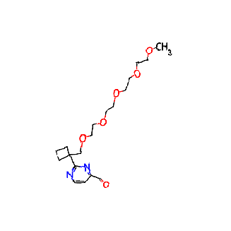 COCCOCCOCCOCCOCC1(c2nccc(C=O)n2)CCC1